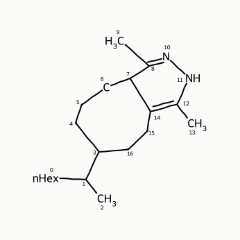 CCCCCCC(C)C1CCCC2C(C)=NNC(C)=C2CC1